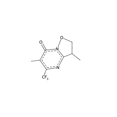 Cc1c(C(F)(F)F)nc2n(c1=O)OCC2C